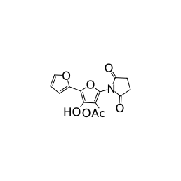 CC(=O)Oc1c(N2C(=O)CCC2=O)oc(-c2ccco2)c1O